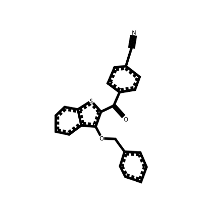 N#Cc1ccc(C(=O)c2sc3ccccc3c2OCc2ccccc2)cc1